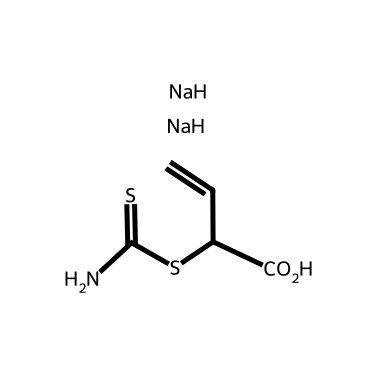 C=CC(SC(N)=S)C(=O)O.[NaH].[NaH]